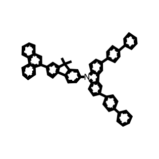 CC1(C)c2cc(-c3cc4ccccc4c4ccccc34)ccc2-c2ccc(-n3c4ccc(-c5ccc(-c6ccccc6)cc5)cc4c4cc(-c5ccc(-c6ccccc6)cc5)ccc43)cc21